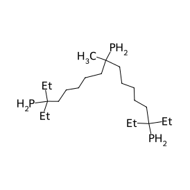 CCC(P)(CC)CCCCCC(C)(P)CCCCCC(P)(CC)CC